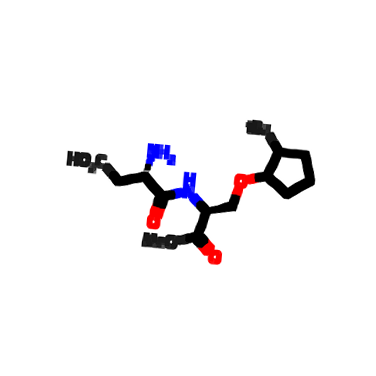 COC(=O)[C@H](COC1CCCC1C(C)(C)C)NC(=O)[C@@H](N)CC(=O)O